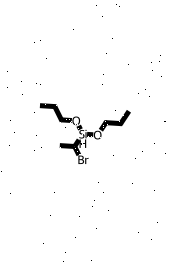 CCCO[SiH](OCCC)C(C)Br